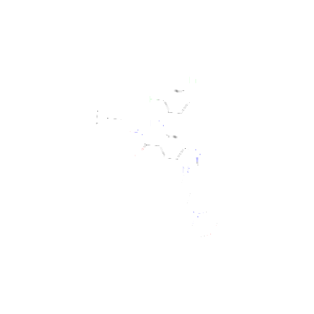 O=C(NOCC1CC1)c1cc2c(ncn2CCCN2CCOCC2)c(F)c1Nc1ccc(Br)cc1Cl